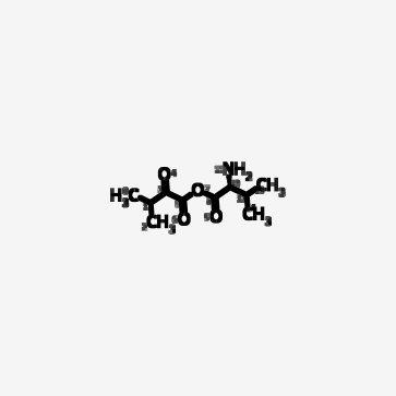 CC(C)C(=O)C(=O)OC(=O)[C@@H](N)C(C)C